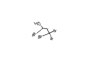 OC(Br)[CH]C(Br)(Br)Br